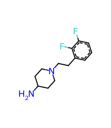 NC1CCN(CCc2cccc(F)c2F)CC1